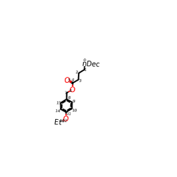 CCCCCCCCCCCCCC(=O)OCc1ccc(OCC)cc1